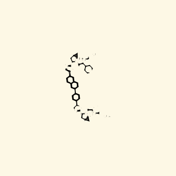 COC(=O)N[C@H](C(=O)N1[C@@H]2C[C@@H]2C[C@H]1C1=NCC(c2ccc(-c3ccc4cc(-c5cnc([C@@H]6C[C@H]7C[C@H]7N6C(=O)[C@@H](NC(=O)OC)C6CCOCC6)[nH]5)ccc4c3)cc2)N1)C(C)C